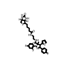 CC1(C(=O)NCCNC(=O)CCCCC2SC[C@@H]3NC(=O)N[C@H]23)C(c2cccs2)C(c2ccc(F)cc2)=NN1c1ccc(F)cc1F